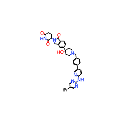 CC(C)c1cnc(Nc2ccc(-c3ccc(CN4CCC(O)(c5ccc6c(c5)CN(C5CCC(=O)NC5=O)C6=O)CC4)cc3)cn2)nc1